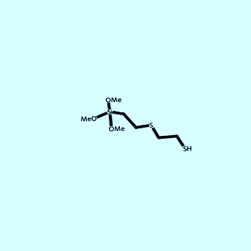 CO[Si](CCSCCS)(OC)OC